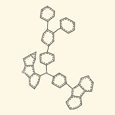 c1ccc(-c2ccc(-c3ccc(N(c4ccc(-n5c6ccccc6c6ccccc65)cc4)c4cccc5oc6cc7cc-7c6c45)cc3)cc2-c2ccccc2)cc1